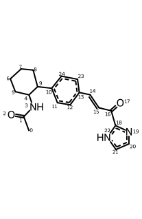 CC(=O)NC1CCCCC1c1ccc(C=CC(=O)c2ncc[nH]2)cc1